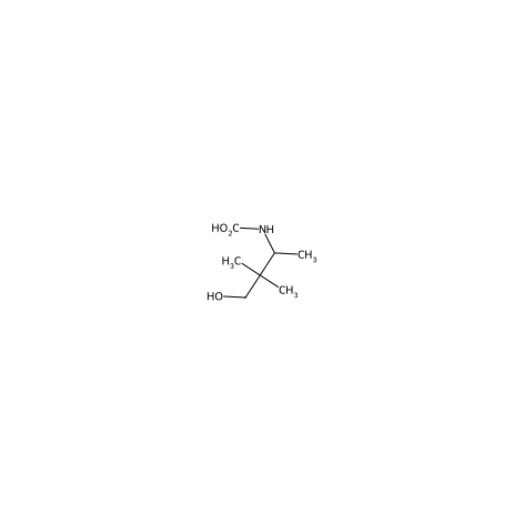 CC(NC(=O)O)C(C)(C)CO